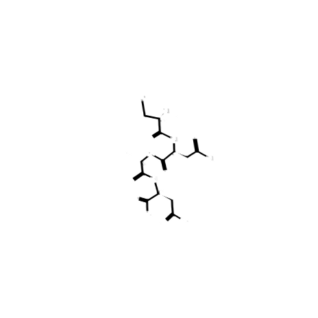 C[C@H](NC(=O)[C@H](CC(N)=O)NC(=O)[C@@H](N)CO)C(=O)N[C@@H](CC(=O)O)C(=O)O